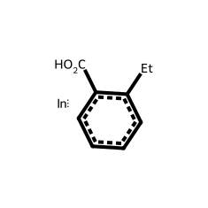 CCc1ccccc1C(=O)O.[In]